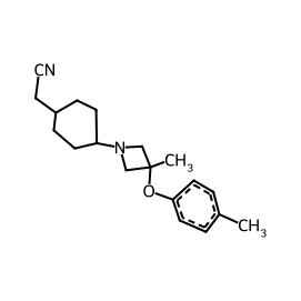 Cc1ccc(OC2(C)CN(C3CCC(CC#N)CC3)C2)cc1